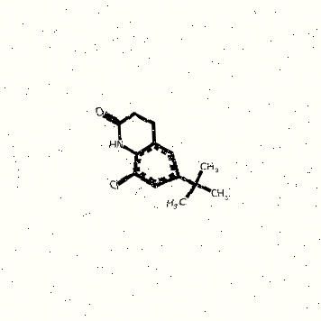 CC(C)(C)c1cc(Cl)c2c(c1)CCC(=O)N2